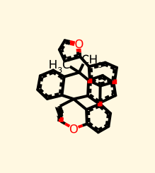 CC1(C)c2ccccc2C2(c3ccccc3Oc3cccc(-c4cccc(-c5ccco5)c4)c32)c2ccccc21